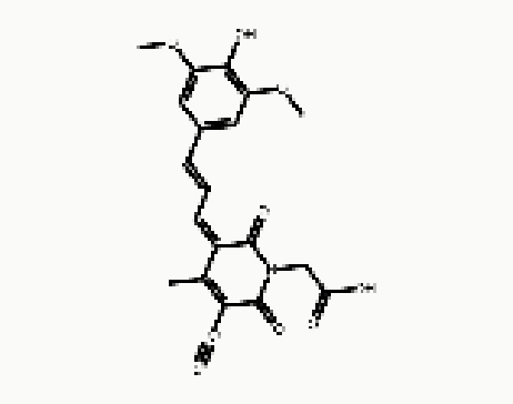 [C-]#[N+]C1=C(C)/C(=C/C=C/c2cc(OC)c(O)c(OC)c2)C(=O)N(CC(=O)O)C1=O